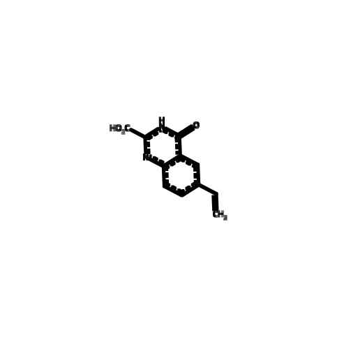 C=Cc1ccc2nc(C(=O)O)[nH]c(=O)c2c1